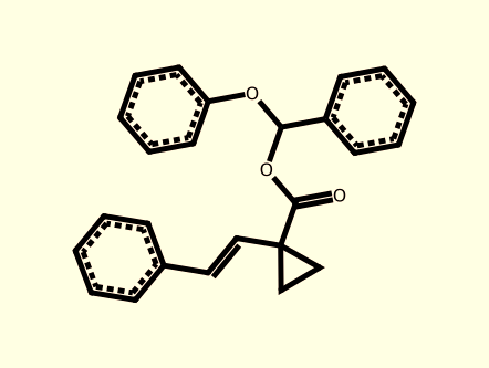 O=C(OC(Oc1ccccc1)c1ccccc1)C1(C=Cc2ccccc2)CC1